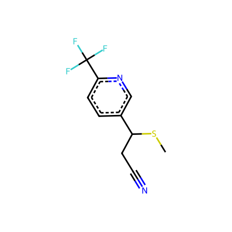 CSC(CC#N)c1ccc(C(F)(F)F)nc1